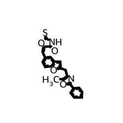 Cc1oc(-c2ccccc2)nc1Cc1cc2cc(C=C3OC(=S)NC3=O)ccc2o1